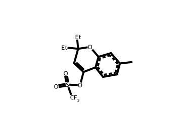 CCC1(CC)C=C(OS(=O)(=O)C(F)(F)F)c2ccc(C)cc2O1